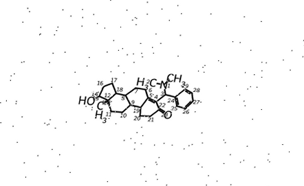 CN(C)C(C1=C2CCC3C(CC[C@]4(C)C(O)CCC34)C2CCC1=O)c1ccccc1